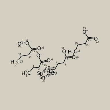 CCCC(=O)[O-].CCCC(=O)[O-].CCCC(=O)[O-].CCCC(=O)[O-].CCC[CH2][Sn+3].CCC[CH2][Sn+3].[O-2]